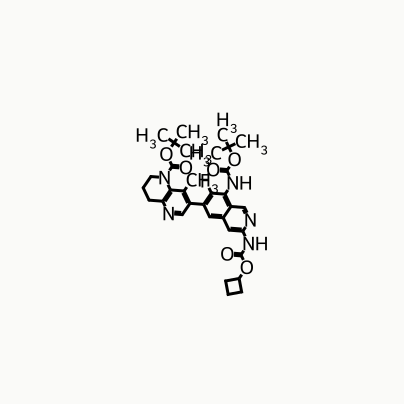 Cc1c(-c2cc3cc(NC(=O)OC4CCC4)ncc3c(NC(=O)OC(C)(C)C)c2F)cnc2c1N(C(=O)OC(C)(C)C)CCC2